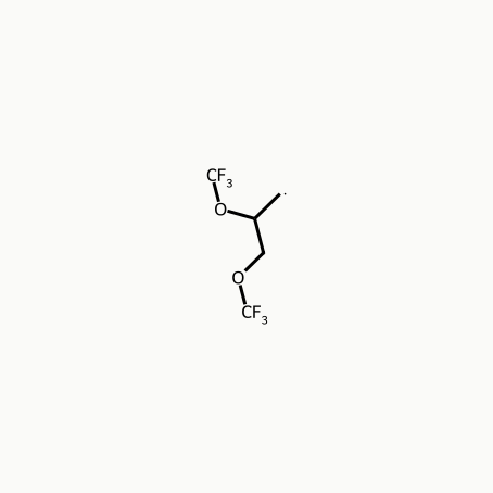 [CH2]C(COC(F)(F)F)OC(F)(F)F